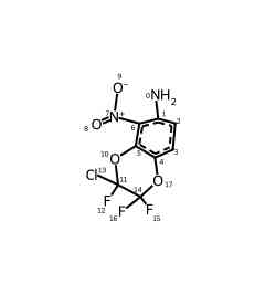 Nc1ccc2c(c1[N+](=O)[O-])OC(F)(Cl)C(F)(F)O2